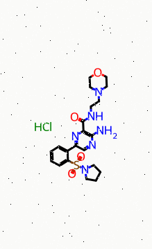 Cl.Nc1ncc(-c2ccccc2S(=O)(=O)N2CCCC2)nc1C(=O)NCCN1CCOCC1